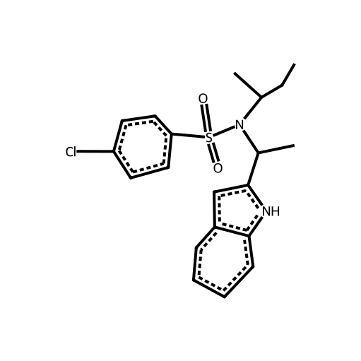 CCC(C)N(C(C)c1cc2ccccc2[nH]1)S(=O)(=O)c1ccc(Cl)cc1